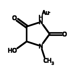 CN1C(=O)NC(=O)C1O.[Au]